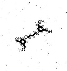 OCc1cc(CO)cc(OCCCCOc2cc(CO)cc(CO)c2)c1